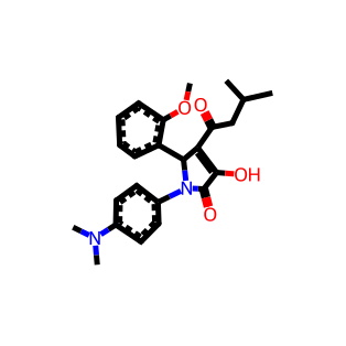 COc1ccccc1C1C(C(=O)CC(C)C)=C(O)C(=O)N1c1ccc(N(C)C)cc1